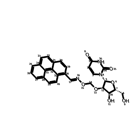 O=c1ccn([C@@H]2O[C@H](CO)[C@@H](O)[C@H]2OCON=Cc2ccc3ccc4cccc5ccc2c3c45)c(=O)[nH]1